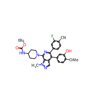 COc1ccc(-c2c(-c3ccc(C#N)c(F)c3)nc(N3CCC(NC(=O)OC(C)(C)C)CC3)c3c2cnn3C)cc1O